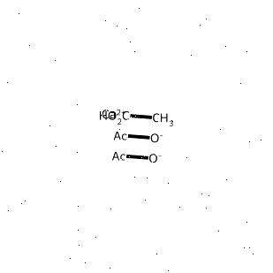 CC(=O)O.CC(=O)[O-].CC(=O)[O-].[Ca+2]